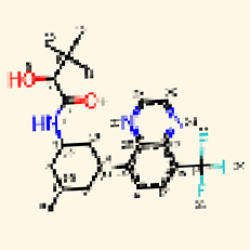 C[C@H]1C[C@@H](NC(=O)C(O)C(C)(C)C)C[C@@H](c2ccc(C(F)(F)F)c3nccnc23)C1